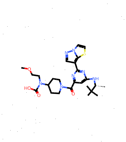 COCCN(C(=O)O)C1CCN(C(=O)c2cc(N[C@H](C)C(C)(C)C)nc(-c3cnn4ccsc34)n2)CC1